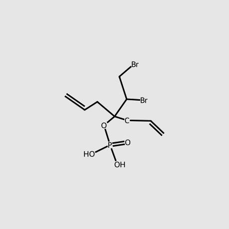 C=CCC(CC=C)(OP(=O)(O)O)C(Br)CBr